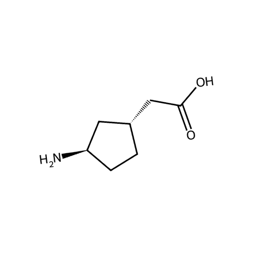 N[C@@H]1CC[C@@H](CC(=O)O)C1